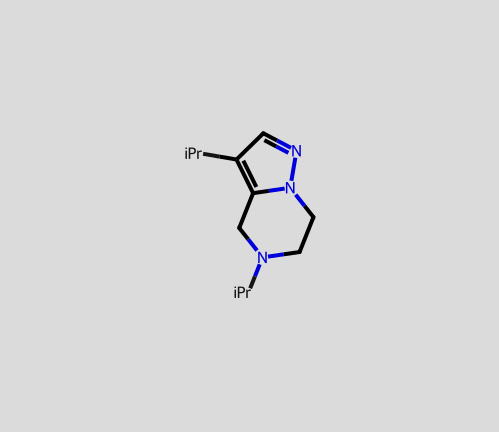 CC(C)c1cnn2c1CN(C(C)C)CC2